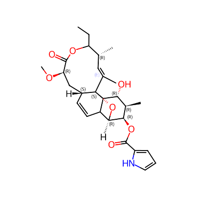 CCC1OC(=O)[C@H](OC)C[C@H]2C=CC3C4[C@H](O)[C@@H](C)[C@@H](OC(=O)c5ccc[nH]5)[C@@H]3O[C@]42/C(C)=C/[C@H]1C